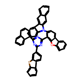 c1ccc2cc3c(cc2c1)c1ccccc1n3-c1ccc2c(oc3ccccc32)c1-c1nc(-c2ccc3c(c2)sc2ccccc23)nc(-c2cccc3ccccc23)n1